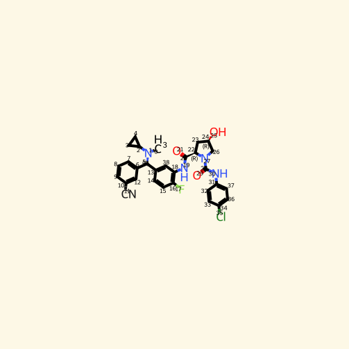 CN(C1CC1)[C@H](c1cccc(C#N)c1)c1ccc(F)c(NC(=O)[C@H]2C[C@@H](O)CN2C(=O)Nc2ccc(Cl)cc2)c1